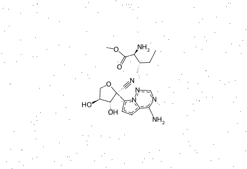 CC[C@H](C)[C@H](N)C(=O)OC.N#C[C@@]1(c2ccc3c(N)ncnn23)OC[C@H](O)[C@H]1O